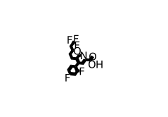 O=C(O)c1cc(-c2ccc(F)cc2F)c2c(n1)OC(CC(F)(F)F)CC2